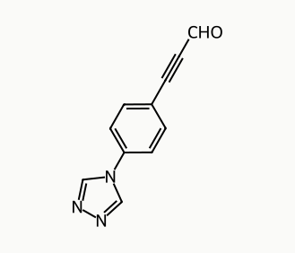 O=CC#Cc1ccc(-n2cnnc2)cc1